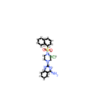 Cl.Nc1nc(N2CCN(S(=O)(=O)c3cccc4ccccc34)CC2)nc2ccccc12